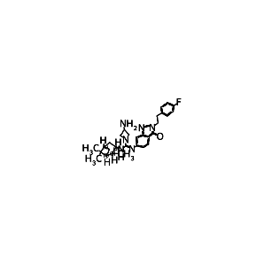 C[C@H]1[C@@H](NC(=Nc2ccc3c(=O)n(CCc4ccc(F)cc4)cnc3c2)N2CC(N)C2)C[C@@H]2C[C@@H]1C2(C)C